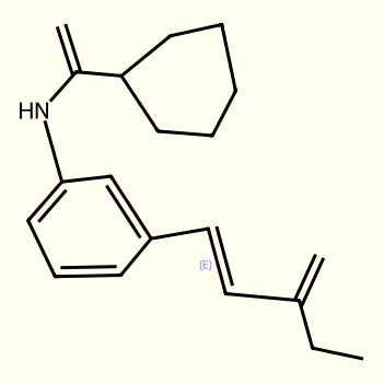 C=C(/C=C/c1cccc(NC(=C)C2CCCCC2)c1)CC